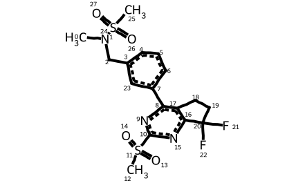 CN(Cc1cccc(-c2nc(S(C)(=O)=O)nc3c2CCC3(F)F)c1)S(C)(=O)=O